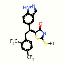 CCSC1=NC(=O)C(=C(Cc2ccc(C(F)(F)F)cc2C(F)(F)F)c2ccc3[nH]ncc3c2)S1